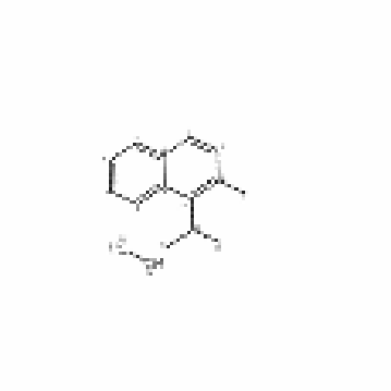 Cc1ccc2ccccc2c1C(C)C.OO